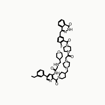 CCc1cccc(-c2cnc(C(=O)N3CCC(CN4CCN(CC(=O)N5CCN(C(=O)c6cc(Cc7n[nH]c(=O)c8ccccc78)ccc6F)CC5)CC4)CC3)c(NC(=O)CNCC3CCOCC3)c2)c1